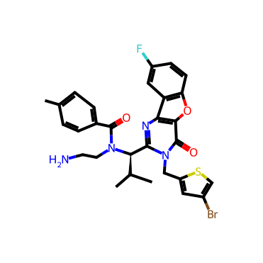 Cc1ccc(C(=O)N(CCN)[C@@H](c2nc3c(oc4ccc(F)cc43)c(=O)n2Cc2cc(Br)cs2)C(C)C)cc1